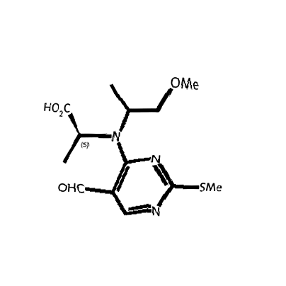 COCC(C)N(c1nc(SC)ncc1C=O)[C@@H](C)C(=O)O